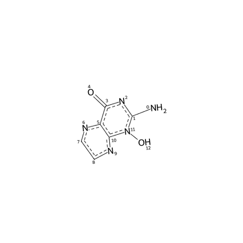 Nc1nc(=O)c2nccnc2n1O